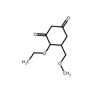 CCOC1C(=O)CC(=O)CC1COC